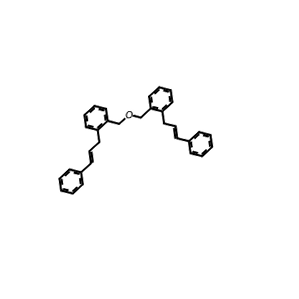 C(=C\c1ccccc1)/Cc1ccccc1COCc1ccccc1C/C=C/c1ccccc1